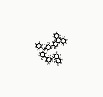 c1ccc(N(c2ccc(-c3ccc4c5ccccc5c5ccccc5c4c3)cc2)c2cccc(-c3cccc(-c4cccc5ccccc45)c3)c2)cc1